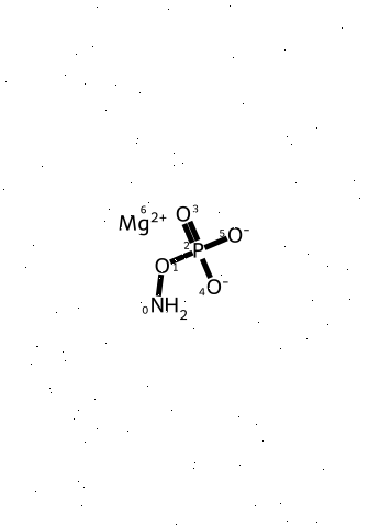 NOP(=O)([O-])[O-].[Mg+2]